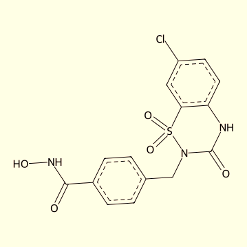 O=C(NO)c1ccc(CN2C(=O)Nc3ccc(Cl)cc3S2(=O)=O)cc1